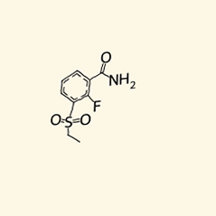 CCS(=O)(=O)c1cccc(C(N)=O)c1F